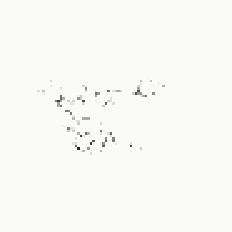 CN(CCC(=O)O)S(=O)(=O)c1cccc(C(=O)Nc2sc3c(c2C(=O)Nc2ccc(CCc4ccc(C(=O)O)cc4)cc2)CCCC3)c1